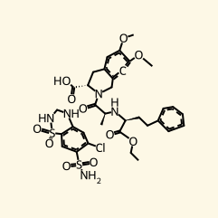 CCOC(=O)[C@H](CCc1ccccc1)N[C@@H](C)C(=O)N1Cc2cc(OC)c(OC)cc2C[C@H]1C(=O)O.NS(=O)(=O)c1cc2c(cc1Cl)NCNS2(=O)=O